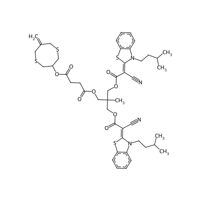 C=C1CSCC(OC(=O)CCC(=O)OCC(C)(COC(=O)/C(C#N)=C2\Sc3ccccc3N2CCC(C)C)COC(=O)/C(C#N)=C2\Sc3ccccc3N2CCC(C)C)CSC1